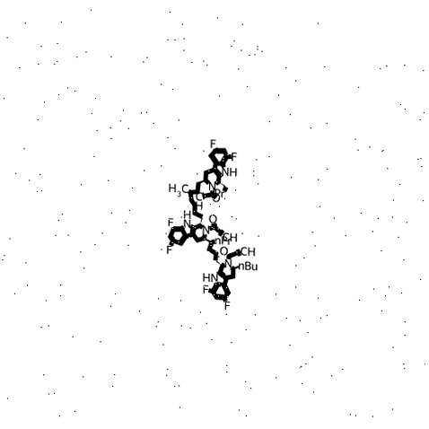 C#CC(=O)N1[C@@H](CCCC)Cc2c([nH]c3c(F)cc(F)cc23)[C@@H]1CCCC(CCC)[C@H]1Cc2c([nH]c3c(F)cc(F)cc23)[C@H](CCCCC(C)CC[C@H]2Cc3c([nH]c4c(F)cc(F)cc34)[C@H](CC(C)C)N2C(=O)C#C)N1C(=O)C#C